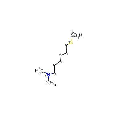 CN(C)CCCCCCSS(=O)(=O)O